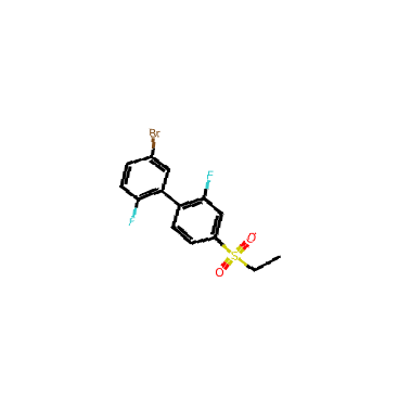 CCS(=O)(=O)c1ccc(-c2cc(Br)ccc2F)c(F)c1